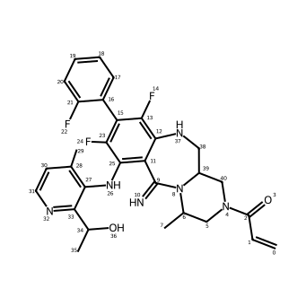 C=CC(=O)N1CC(C)N2C(=N)c3c(c(F)c(-c4ccccc4F)c(F)c3Nc3c(C)ccnc3C(C)O)NCC2C1